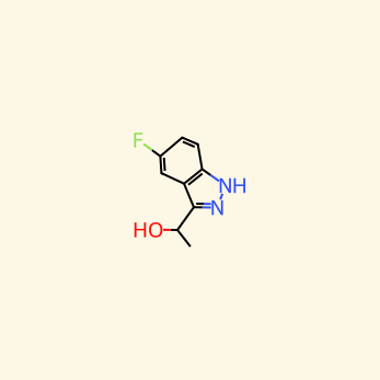 CC(O)c1n[nH]c2ccc(F)cc12